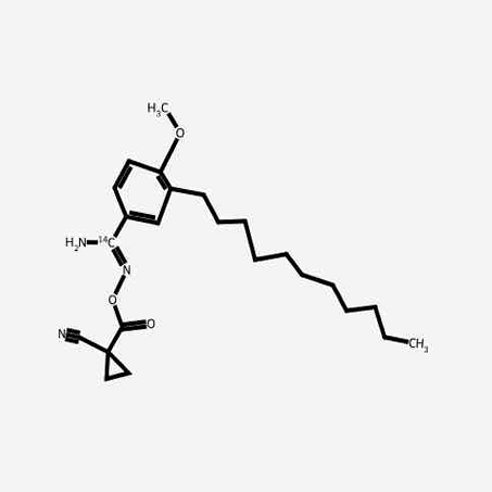 CCCCCCCCCCCc1cc([14C](N)=NOC(=O)C2(C#N)CC2)ccc1OC